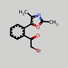 Cc1nc(C)c(-c2ccccc2C(=O)CBr)o1